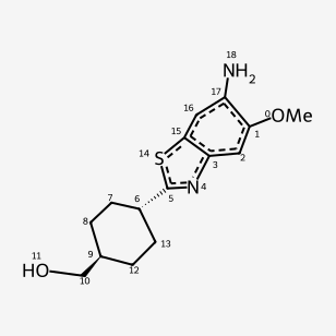 COc1cc2nc([C@H]3CC[C@H](CO)CC3)sc2cc1N